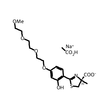 CC(=O)O.COCCOCCOCCOc1ccc(C2=N[C@@](C)(C(=O)[O-])CS2)c(O)c1.[Na+]